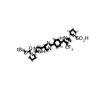 CC(C)(C)OC(=O)N1CCC[C@H]1c1ncc(-c2cnc(-c3ccc(-c4[nH]c([C@@H]5CCCN5C(=O)O)nc4C(F)(F)F)cc3)nc2)[nH]1